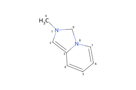 CN1C=C2C=CC=CN2C1